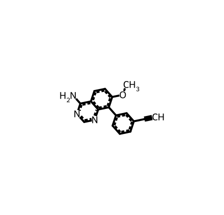 C#Cc1cccc(-c2c(OC)ccc3c(N)ncnc23)c1